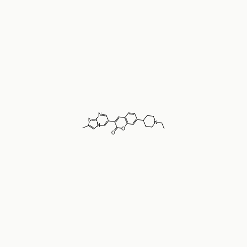 CCN1CCC(c2ccc3cc(-c4cnc5nc(C)cn5c4)c(=O)oc3c2)CC1